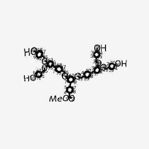 COC(=O)c1ccc(-c2cc(OCc3ccc(-c4ccc(OCc5ccc(O)cc5)c(OCc5ccc(O)cc5)c4)cc3)cc(OCc3ccc(-c4ccc(OCc5ccc(O)cc5)c(OCc5ccc(O)cc5)c4)cc3)c2)cc1